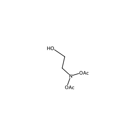 CC(=O)ON(CCO)OC(C)=O